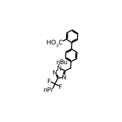 CCCCn1nc(C(F)(F)CCC)nc1Cc1ccc(-c2ccccc2C(=O)O)cc1